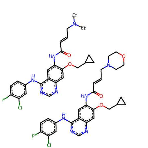 CCN(CC)CC=CC(=O)Nc1cc2c(Nc3ccc(F)c(Cl)c3)ncnc2cc1OCC1CC1.O=C(C=CCN1CCOCC1)Nc1cc2c(Nc3ccc(F)c(Cl)c3)ncnc2cc1OCC1CC1